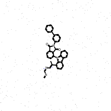 C=N/C=N\C=C(/C)c1cccc2c3ccccc3n(-c3cccc4c3C(=O)N(c3cccc(-c5ccccc5)c3)C4=O)c12